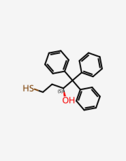 O[C@@H](CCS)C(c1ccccc1)(c1ccccc1)c1ccccc1